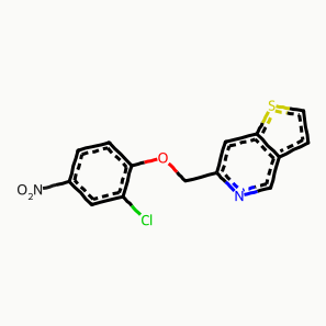 O=[N+]([O-])c1ccc(OCc2cc3sccc3cn2)c(Cl)c1